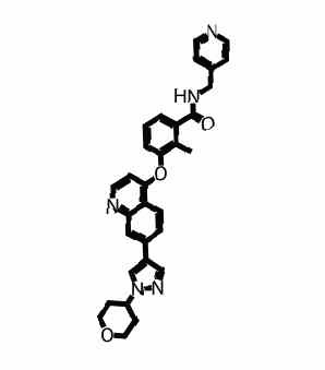 Cc1c(Oc2ccnc3cc(-c4cnn(C5CCOCC5)c4)ccc23)cccc1C(=O)NCc1ccncc1